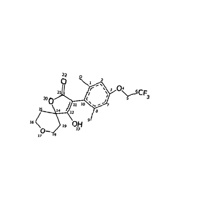 Cc1cc(OCC(F)(F)F)cc(C)c1C1=C(O)C2(CCOCC2)OC1=O